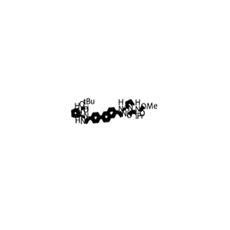 COC(=O)N[C@H](C(=O)N1CCC[C@H]1C1NC=C(c2ccc3cc(-c4ccc(-c5cnc([C@@H]6[C@@H]7CC[C@@H](C7)N6C(=O)OC(C)(C)C)[nH]5)cc4)ccc3c2)N1)C(C)C